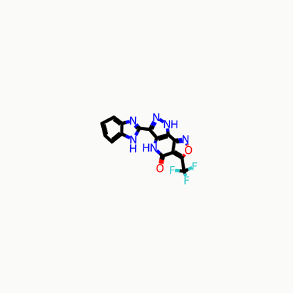 O=c1[nH]c2c(-c3nc4ccccc4[nH]3)n[nH]c2c2noc(C(F)(F)F)c12